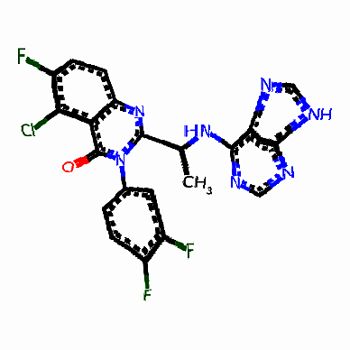 CC(Nc1ncnc2[nH]cnc12)c1nc2ccc(F)c(Cl)c2c(=O)n1-c1ccc(F)c(F)c1